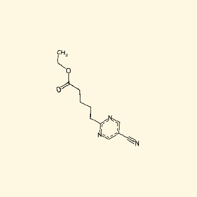 CCOC(=O)CCCCc1ncc(C#N)cn1